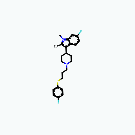 CCc1c(C2CCN(CCCSc3ccc(F)cc3)CC2)c2ccc(F)cc2n1C